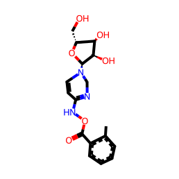 Cc1ccccc1C(=O)ONC1=NCN([C@@H]2O[C@H](CO)[C@@H](O)[C@H]2O)C=C1